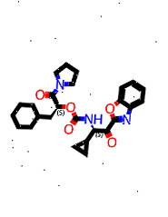 O=C(N[C@H](C(=O)c1nc2ccccc2o1)C1CC1)O[C@@H](CC1CCCCC1)C(=O)N1CCCC1